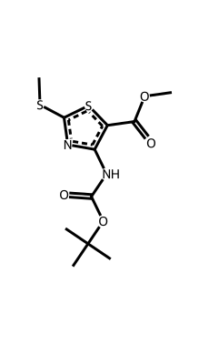 COC(=O)c1sc(SC)nc1NC(=O)OC(C)(C)C